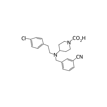 N#Cc1cccc(CN(CCc2ccc(Cl)cc2)C2CCN(C(=O)O)CC2)c1